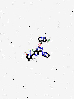 Cc1cc(=O)[nH]c(-c2ncc3c(N4CC5CCC(C4)N5)nc(OC[C@@]45CCCN4C[C@H](F)C5)nc3c2F)c1C(F)(F)F